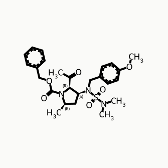 COc1ccc(CN([C@H]2C[C@@H](C)N(C(=O)OCc3ccccc3)[C@H]2C(C)=O)S(=O)(=O)N(C)C)cc1